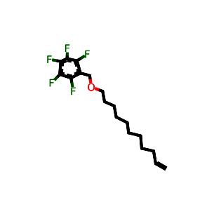 C=CCCCCCCCCCOCc1c(F)c(F)c(F)c(F)c1F